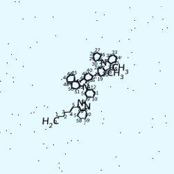 C=CCC/C=C/c1nc(-c2cccc(-n3c4cc(-c5ccc6c(c5)N(c5ccccc5)c5ccccc5C6(C)C)ccc4c4c5ccccc5ccc43)c2)nc2c1CCC=C2